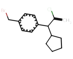 C=C(Cl)C(c1ccc(CBr)cc1)C1CCCC1